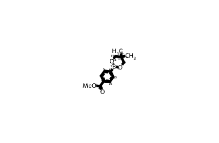 COC(=O)c1ccc(B2OCC(C)(C)CO2)cc1